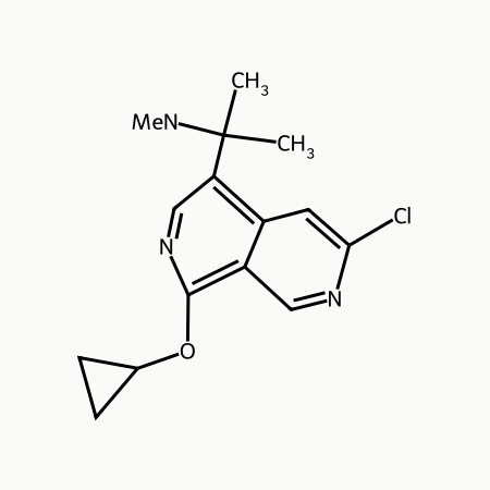 CNC(C)(C)c1cnc(OC2CC2)c2cnc(Cl)cc12